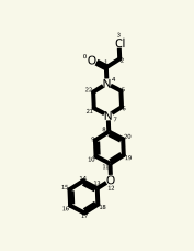 O=C(CCl)N1CCN(c2ccc(Oc3ccccc3)cc2)CC1